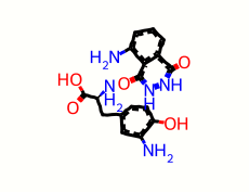 Nc1cc(C[C@H](N)C(=O)O)ccc1O.Nc1cccc2c(=O)[nH][nH]c(=O)c12